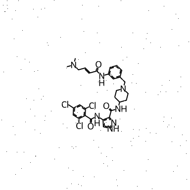 CN(C)CC=CC(=O)Nc1cccc(CN2CCC(NC(=O)c3n[nH]cc3NC(=O)c3c(Cl)cc(Cl)cc3Cl)CC2)c1